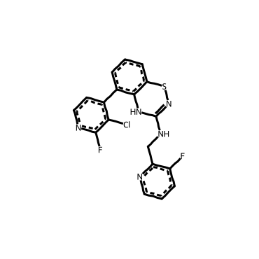 Fc1cccnc1CNC1=NSc2cccc(-c3ccnc(F)c3Cl)c2N1